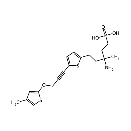 Cc1csc(OCC#Cc2ccc(CCC(C)(N)CCP(=O)(O)O)s2)c1